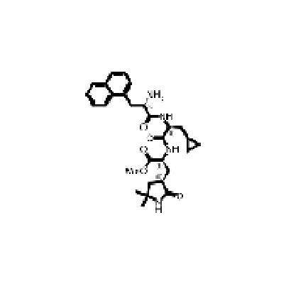 COC(=O)[C@H](C[C@@H]1CC(C)(C)NC1=O)NC(=O)[C@H](CC1CC1)NC(=O)[C@@H](N)Cc1cccc2ccccc12